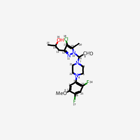 COc1cc(N2CCN(C(C=O)n3nc(CC(C)O)c(Cl)c3C)CC2)c(F)cc1F